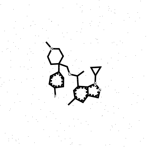 Cc1cc(C(C)OCC2(c3ccc(F)cc3)CCN(C)CC2)c2c(cnn2C2CC2)c1